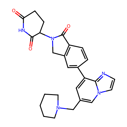 O=C1CCC(N2Cc3cc(-c4cc(CN5CCCCC5)cn5ccnc45)ccc3C2=O)C(=O)N1